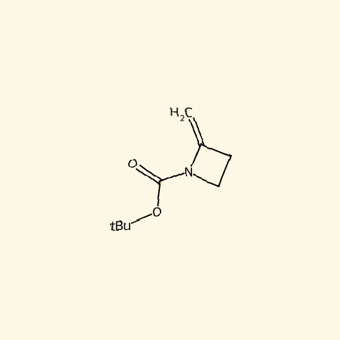 C=C1CCN1C(=O)OC(C)(C)C